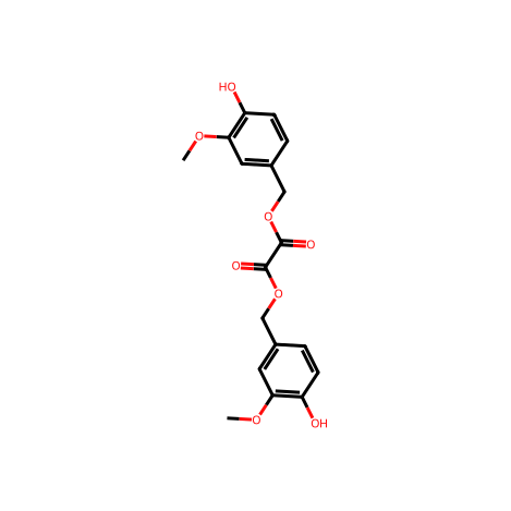 COc1cc(COC(=O)C(=O)OCc2ccc(O)c(OC)c2)ccc1O